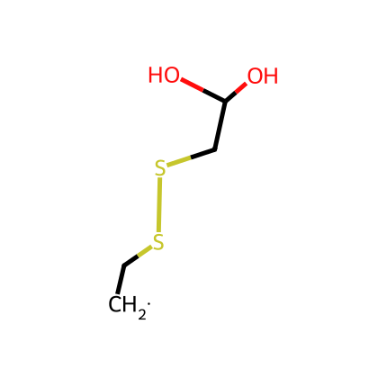 [CH2]CSSCC(O)O